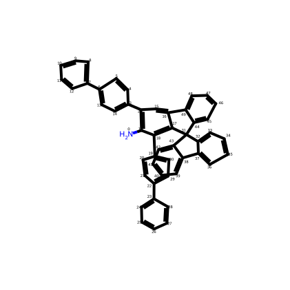 Nc1c(-c2ccc(-c3ccccc3)cc2)cc2c(c1-c1ccc(-c3ccccc3)cc1)C1(c3ccccc3-c3ccccc31)c1ccccc1-2